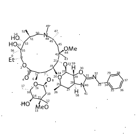 CC[C@H]1OC(=O)[C@H](C)[C@@H](O[C@H]2C[C@@](C)(OC)[C@@H](O)[C@H](C)O2)[C@H](C)[C@@H](O[C@@H]2O[C@H](C)C[C@H]3[C@H]2OC(=NCc2ccccc2)N3C)[C@](C)(OC)C[C@@H](C)N(C)C[C@H](C)[C@@H](O)[C@]1(C)O